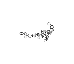 CC(C)(C)[Si](C)(C)OCc1nnc(-c2cc(Cl)ccc2F)cc1Nc1cc(NC(=O)C2CC(N3CCC(C(=O)OC4COC4)CC3)C2)ncn1